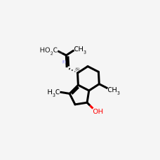 CC1=C2C(C(C)CC[C@H]2/C=C(\C)C(=O)O)C(O)C1